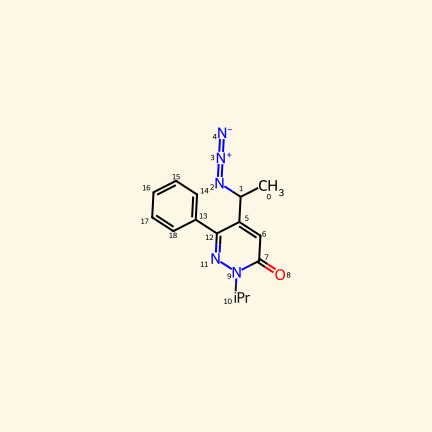 CC(N=[N+]=[N-])c1cc(=O)n(C(C)C)nc1-c1ccccc1